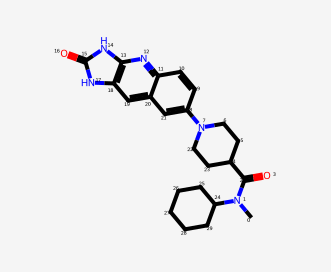 CN(C(=O)C1CCN(c2ccc3nc4[nH]c(=O)[nH]c4cc3c2)CC1)C1CCCCC1